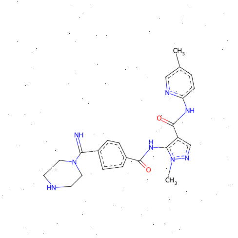 Cc1ccc(NC(=O)c2cnn(C)c2NC(=O)c2ccc(C(=N)N3CCNCC3)cc2)nc1